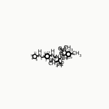 COc1cc(CNC2CCCC2)ccc1Nc1ncc(C(F)(F)F)c(NCc2ccc(C)cc2N(C)[SH](=O)=O)n1